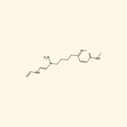 C=CN/C=C/N(N)CCCCC(/C=C\C(=C)NC)=N/C